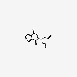 C=CCN(CC=C)C1=CC(=O)c2ccccc2C1=O